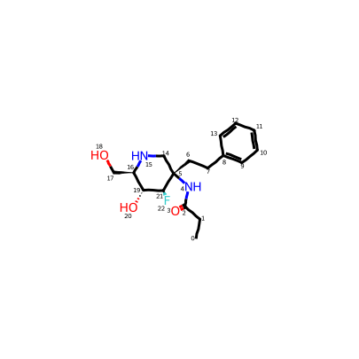 CCC(=O)N[C@@]1(CCc2ccccc2)CN[C@H](CO)[C@@H](O)[C@@H]1F